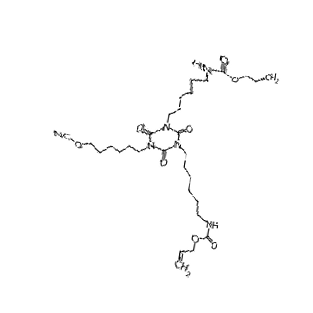 C=CCOC(=O)NCCCCCCn1c(=O)n(CCCCCCNC(=O)OCC=C)c(=O)n(CCCCCCOC#N)c1=O